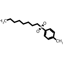 CCCCCCCCS(=O)(=O)c1ccc(C)cc1